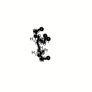 CC(C)C(=O)N[C@H](C(=O)N1CCCC1Cn1nnnc1OCc1ccccc1)[C@@H](C)OCC#CC#CCOC(C)[C@H](NC(=O)[C@H](C)N(C)C(=O)OCC1c2ccccc2-c2ccccc21)C(=O)N1CCC[C@H]1Cn1nnnc1OCc1ccccc1